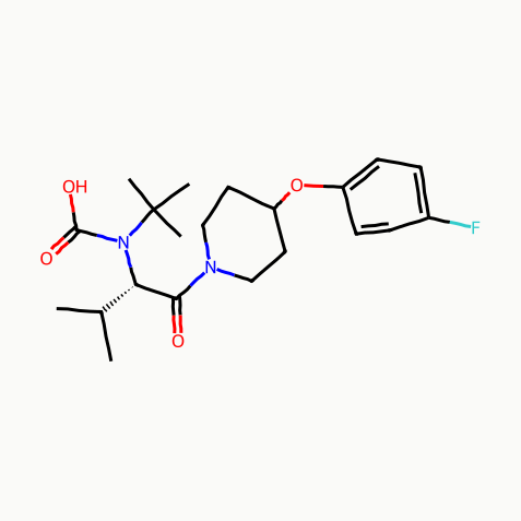 CC(C)[C@@H](C(=O)N1CCC(Oc2ccc(F)cc2)CC1)N(C(=O)O)C(C)(C)C